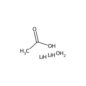 CC(=O)O.O.[LiH].[LiH]